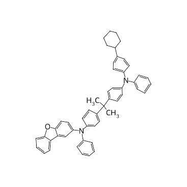 CC(C)(c1ccc(N(c2ccccc2)c2ccc(C3CCCCC3)cc2)cc1)c1ccc(N(c2ccccc2)c2ccc3oc4ccccc4c3c2)cc1